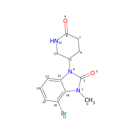 Cn1c(=O)n(C2CCC(=O)NC2)c2cccc(Br)c21